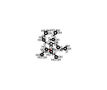 COc1cc(C(=O)Oc2cc(C(=O)OCC3CC(OC(=O)c4cc(O)c(O)c(OC(=O)c5cc(O)c(O)c(O)c5)c4)C(COC(=O)c4cc(O)c(O)c(OC(=O)c5cc(O)c(O)c(O)c5)c4)C(COC(=O)c4cc(O)c(O)c(OC(=O)c5cc(O)c(O)c(O)c5)c4)C3COC(=O)c3cc(O)c(O)c(OC(=O)c4cc(O)c(O)c(O)c4)c3)cc(O)c2O)cc(O)c1O